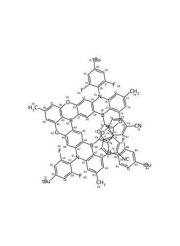 [C-]#[N+]c1ccc2oc3c(c2c1)Oc1cc(C)cc2c1B3c1cc3c(cc1N2c1c(F)cc(C(C)(C)C)cc1F)Oc1cc(C)cc2c1B3c1cc3c(cc1O2)N(c1c(F)cc(C(C)(C)C)cc1F)c1cc(C)cc2c1B3c1oc3ccc(C#N)cc3c1N2c1ccc(C(C)(C)C)cc1F